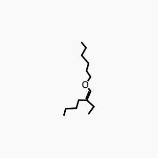 CCCCCCOC=C(CC)CCCC